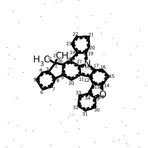 CC1(C)c2ccccc2-c2cc3c4c5c(ccc4n4c6ccccc6c(c21)c34)oc1ccccc15